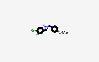 COc1ccc(Cn2cc3cc(F)c(Br)cc3n2)cc1